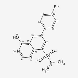 CN(C)S(=O)(=O)c1cc(-c2ccc(F)cc2)cc2c(O)ncnc12